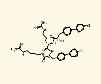 N=C(N)NCCCCNC(=O)[C@H](Cc1ccc(-c2ccc(Cl)cc2)cc1)NC(=O)[C@H](CCCNC(=N)N)NC(=O)[C@@H](N)Cc1ccc(-c2ccc(Cl)cc2)cc1